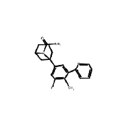 Cc1c(F)cc(C23CCCC(C2)N3C(N)=O)cc1-c1ccccn1